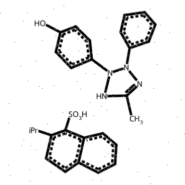 CC(C)c1ccc2ccccc2c1S(=O)(=O)O.CC1=NN(c2ccccc2)N(c2ccc(O)cc2)N1